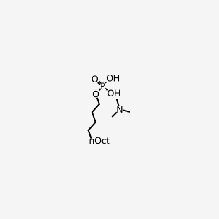 CCCCCCCCCCCCOP(=O)(O)O.CN(C)C